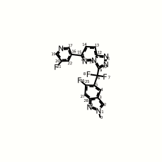 Cn1cc2cc(C(F)(F)c3nnc4ccc(-c5cncc(F)c5)nn34)c(F)cc2n1